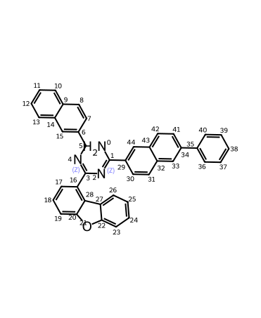 N/C(=N\C(=N/Cc1ccc2ccccc2c1)c1cccc2oc3ccccc3c12)c1ccc2cc(-c3ccccc3)ccc2c1